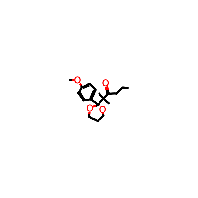 CCCC(=O)C(C)(C)C1(c2ccc(OC)cc2)OCCCO1